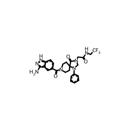 Nc1n[nH]c2ccc(C(=O)N3CCC4(CC3)C(=O)N(CC(=O)NCC(F)(F)F)CN4c3ccccc3)cc12